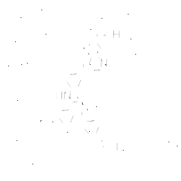 C#Cc1ccc(-c2nnc(Nc3ccc(Oc4ccnc5cc(OC)cnc45)cc3)c3ccccc23)cc1